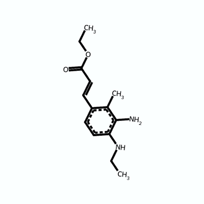 CCNc1ccc(/C=C/C(=O)OCC)c(C)c1N